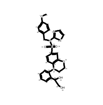 COc1ccc(CN(c2nccs2)S(=O)(=O)c2ccc3c(c2)OCCN3c2ccccc2C(O)CO)cc1